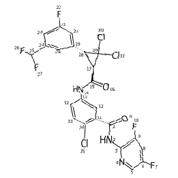 O=C(Nc1ncc(F)cc1F)c1cc(NC(=O)[C@H]2[C@H](c3cc(F)cc(C(F)F)c3)C2(Cl)Cl)ccc1Cl